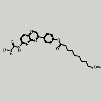 CCCCCCCCCCCCCCCCCCC(=O)Oc1ccc(-c2cnc3ccc(NC(=O)NCC)nc3n2)cc1